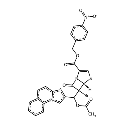 CC(=O)OC(c1cn2c(ccc3ccccc32)n1)C1(Br)C(=O)N2C(C(=O)OCc3ccc([N+](=O)[O-])cc3)=CS[C@@H]21